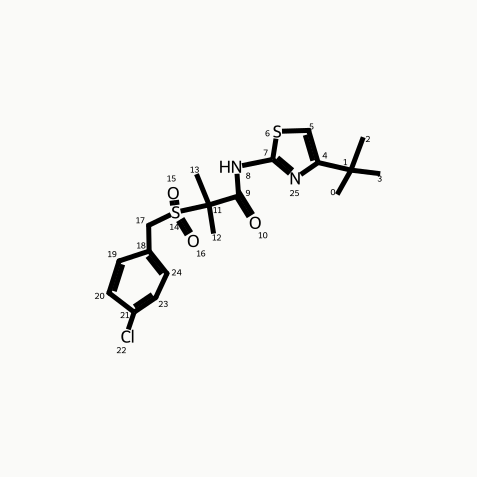 CC(C)(C)c1csc(NC(=O)C(C)(C)S(=O)(=O)Cc2ccc(Cl)cc2)n1